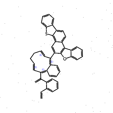 C=Cc1ccccc1C(=C)C1=c2\cccc\c2=C(c2cc3c(ccc4c5ccccc5sc43)c3c2oc2ccccc23)\C=C\CC\C=C\1